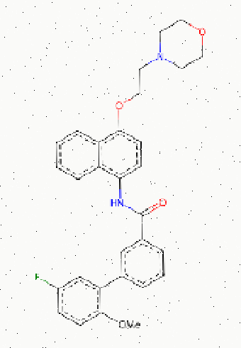 COc1ccc(F)cc1-c1cccc(C(=O)Nc2ccc(OCCN3CCOCC3)c3ccccc23)c1